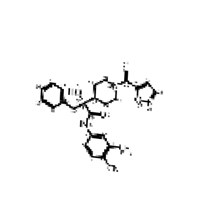 N#Cc1ccc(NC(=O)[C@@](O)(Cc2ccccc2)C2CCN(C(=O)c3ccno3)CC2)cc1C(F)(F)F